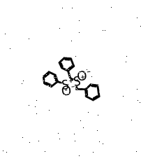 [O-][S+](Cc1ccccc1)C(c1ccccc1)[S+]([O-])c1ccccc1